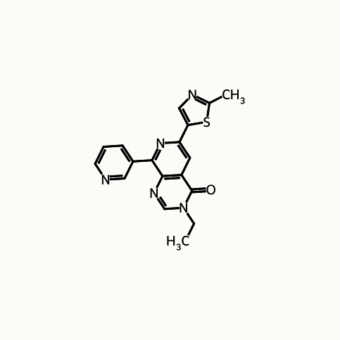 CCn1cnc2c(-c3cccnc3)nc(-c3cnc(C)s3)cc2c1=O